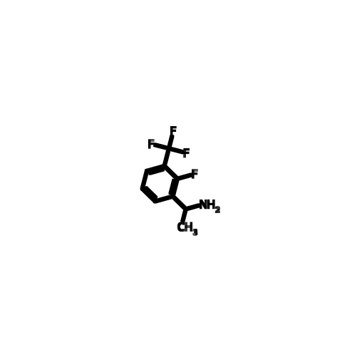 CC(N)c1cccc(C(F)(F)F)c1F